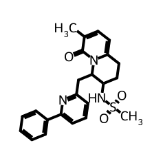 Cc1ccc2n(c1=O)C(Cc1cccc(-c3ccccc3)n1)C(NS(C)(=O)=O)CC2